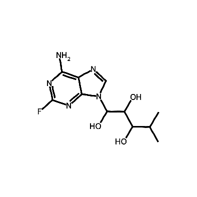 CC(C)C(O)C(O)C(O)n1cnc2c(N)nc(F)nc21